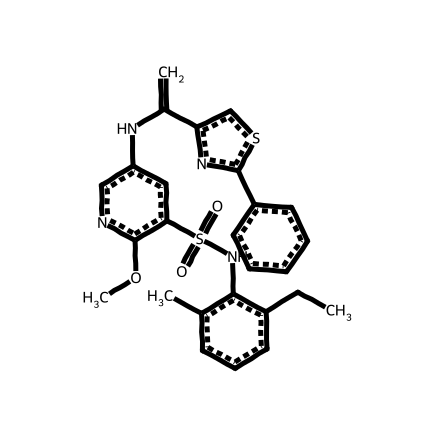 C=C(Nc1cnc(OC)c(S(=O)(=O)Nc2c(C)cccc2CC)c1)c1csc(-c2ccccc2)n1